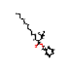 CCCCCCCCCCCC(C=C(C)C)C(=O)OCc1ccccc1